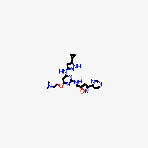 CN(C)CCOc1cc(Nc2cc(C3CC3)[nH]n2)nc(NCc2cc(-c3ccncn3)no2)n1